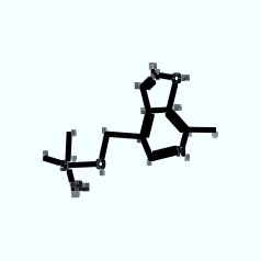 Cc1ncc(CO[Si](C)(C)C(C)(C)C)c2cnoc12